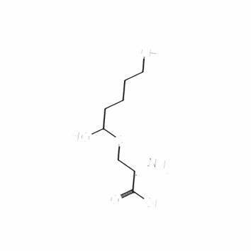 CCCCCC(O)SC[C@H](N)C(=O)O